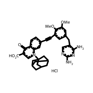 COc1cc(Cc2cnc(N)nc2N)cc(C#Cc2ccc3c(=O)c(C(=O)O)cn(C45CC6CC(CC(C6)C4)C5)c3c2)c1OC.Cl